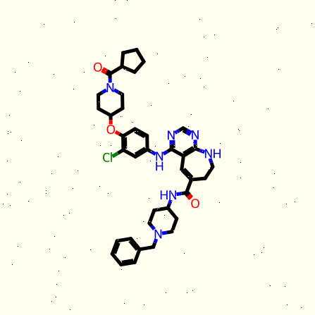 O=C(NC1CCN(Cc2ccccc2)CC1)C1=Cc2c(ncnc2Nc2ccc(OC3CCN(C(=O)C4CCCC4)CC3)c(Cl)c2)NCC1